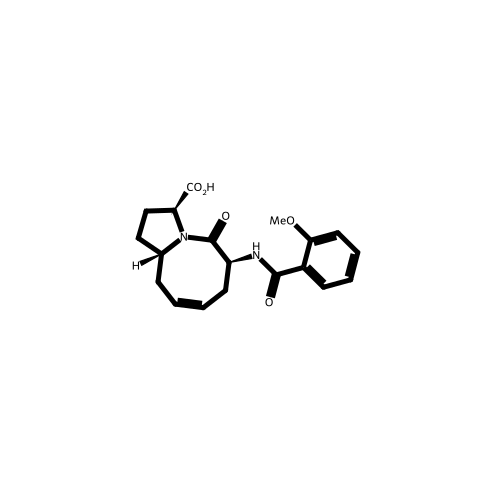 COc1ccccc1C(=O)N[C@H]1CC=CC[C@@H]2CC[C@@H](C(=O)O)N2C1=O